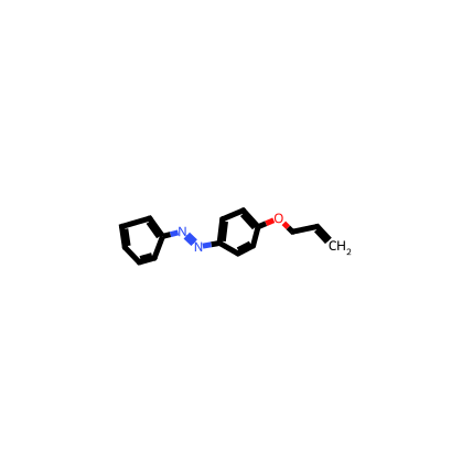 C=CCOc1ccc(N=Nc2ccccc2)cc1